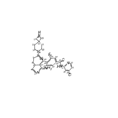 NC1=NC=CC2CCC(N3CCC4(CC3)CNC4)=NC(c3ccc(C(=O)Nc4cc(Cl)ccn4)cc3F)=C12